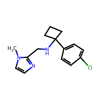 Cn1ccnc1CNC1(c2ccc(Cl)cc2)CCC1